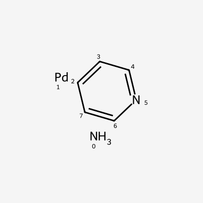 N.[Pd].c1ccncc1